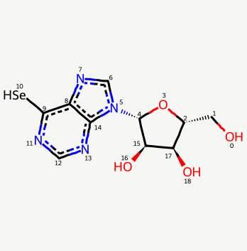 OC[C@H]1O[C@@H](n2cnc3c([SeH])ncnc32)[C@H](O)[C@@H]1O